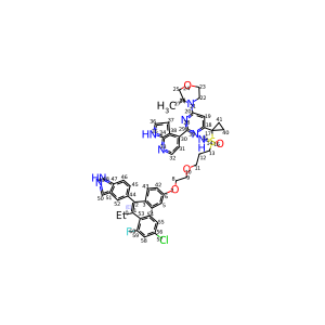 CC/C(=C(/c1ccc(OCCOCCCS(=N)(=O)C2(c3cc(N4CCOC[C@H]4C)nc(-c4ccnc5[nH]ccc45)n3)CC2)cc1)c1ccc2[nH]ncc2c1)c1ccc(Cl)cc1F